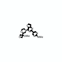 CNc1ncc(-c2nc(N3CCOC(C4(OC)COC4)C3)c3sccc3n2)cn1